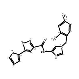 O=C(Nc1cn(Cc2ccc(C(F)(F)F)cc2C(F)(F)F)cn1)c1cc(-c2ccco2)on1